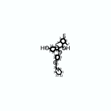 Cc1cc(F)cc(C)c1C(O)c1sc2cc(O)ccc2c1Oc1ccc(OCCN2CCCCC2)cc1